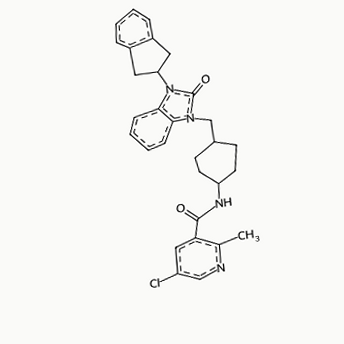 Cc1ncc(Cl)cc1C(=O)NC1CCC(Cn2c(=O)n(C3Cc4ccccc4C3)c3ccccc32)CC1